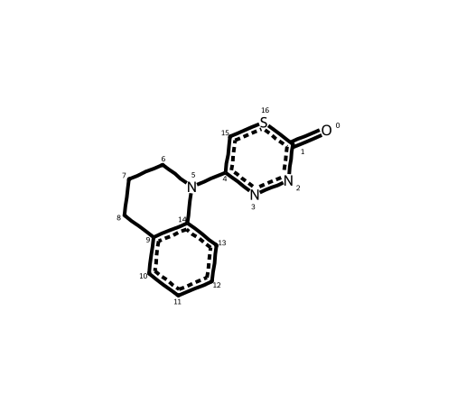 O=c1nnc(N2CCCc3ccccc32)cs1